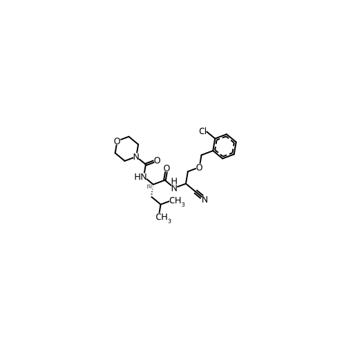 CC(C)C[C@H](NC(=O)N1CCOCC1)C(=O)NC(C#N)COCc1ccccc1Cl